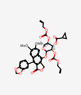 C=CCOC(=O)O[C@H]1[C@H](OC(=O)C2CC2)[C@@H](OC(=O)OCC=C)C(Oc2c3c(c(-c4ccc5c(c4)OCO5)c4cc(OC)c(OC)cc24)C(=O)OC3)O[C@@H]1C